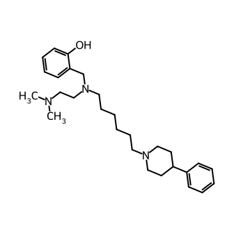 CN(C)CCN(CCCCCCN1CCC(c2ccccc2)CC1)Cc1ccccc1O